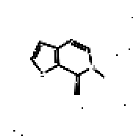 C=C1c2sccc2C=CN1C